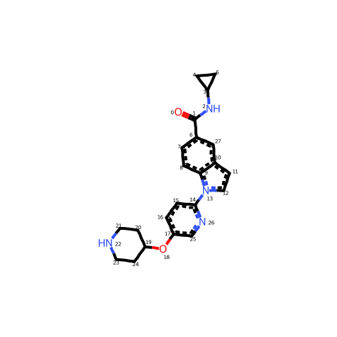 O=C(NC1CC1)c1ccc2c(ccn2-c2ccc(OC3CCNCC3)cn2)c1